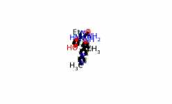 CCc1nc(C(N)=O)c(Nc2ccc(C3CCN(C4CCN(C)CC4)CC3)c(C)c2)nc1N[C@H]1CC[C@H](O)CC1